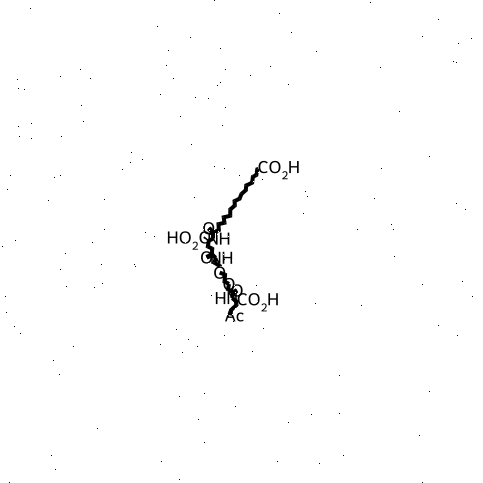 CC(=O)CC[C@H](NC(=O)COCCOCCNC(=O)CC[C@H](NC(=O)CCCCCCCCCCCCCCCCC(=O)O)C(=O)O)C(=O)O